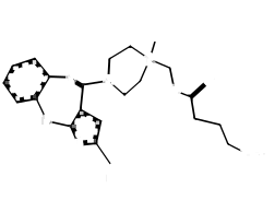 CCCCCCCCCCCCCC(=O)OC[N+]1(C)CCN(C2=Nc3ccccc3Nc3sc(C)cc32)CC1.[I-]